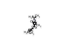 CCN(C)/C=N/c1cc(C)c(C(=O)OCCC[Si](C)(C)C)cc1Cl